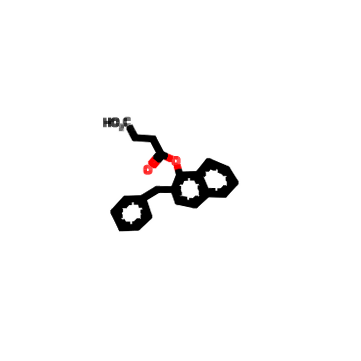 O=C(O)CCC(=O)Oc1c(Cc2ccccc2)ccc2ccccc12